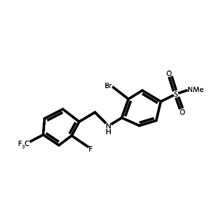 CNS(=O)(=O)c1ccc(NCc2ccc(C(F)(F)F)cc2F)c(Br)c1